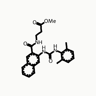 COC(=O)CCNC(=O)c1cc2ccccc2cc1NC(=O)Nc1c(C)cccc1C